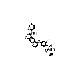 COc1cc2nccc(Oc3ccc(NC(=O)NC4CC4)c(Cl)c3)c2cc1C(=O)Nc1ccccn1